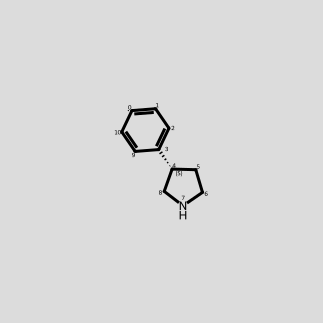 [c]1ccc([C@@H]2CCNC2)cc1